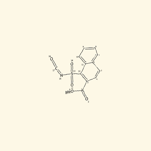 COC(=O)c1ccc2ccccc2c1S(=O)(=O)N=C=O